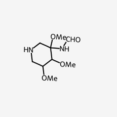 COC1CNCC(NC=O)(OC)C1OC